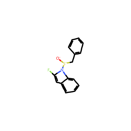 [O-][S+](Cc1ccccc1)n1c(F)cc2ccccc21